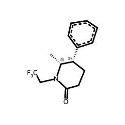 C[C@@H]1[C@H](c2ccccc2)CCC(=O)N1CC(F)(F)F